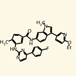 CCOc1ccc(-c2cn(C)c3cc(NC(=O)c4ccc(C)c(Nc5nccc(-c6ccc(F)cc6)n5)c4)ccc23)cn1